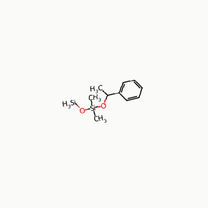 CC(O[Si](C)(C)O[SiH3])c1ccccc1